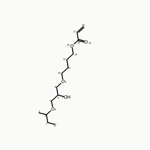 [CH2]CC(C)OCC(O)COCCCCOC(=O)C=C